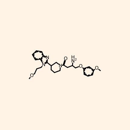 COCCCn1c(C2CCCN(C(=O)CC(N)COc3cccc(OC)c3)C2)nc2ccccc21